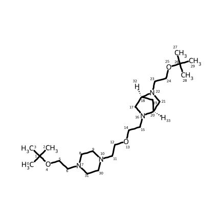 CC(C)(C)OCCN1CCN(CCOCCN2C[C@@H]3C[C@H]2CN3CCOC(C)(C)C)CC1